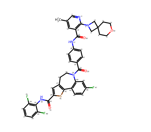 Cc1cnc(N2CC3(CCOCC3)C2)c(C(=O)Nc2ccc(C(=O)N3CCc4cc(C(=O)Nc5c(F)cccc5F)sc4-c4ccc(F)cc43)cc2)c1